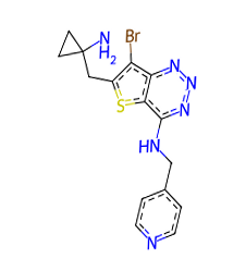 NC1(Cc2sc3c(NCc4ccncc4)nnnc3c2Br)CC1